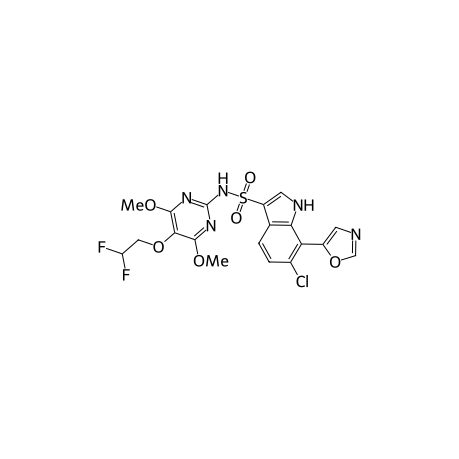 COc1nc(NS(=O)(=O)c2c[nH]c3c(-c4cnco4)c(Cl)ccc23)nc(OC)c1OCC(F)F